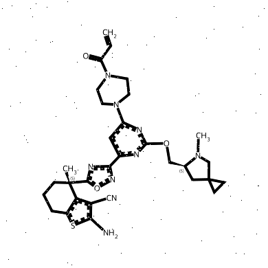 C=CC(=O)N1CCN(c2cc(-c3noc([C@@]4(C)CCCc5sc(N)c(C#N)c54)n3)nc(OC[C@@H]3CC4(CC4)CN3C)n2)CC1